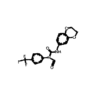 O=CN(C(=O)Nc1ccc2c(c1)OCCO2)c1ccc(C(F)(F)F)cc1